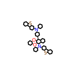 c1ccc(N(c2ccc(-c3c4c(c(N(c5ccccc5)c5ccc6c(c5)sc5ccccc56)c5ccccc35)Oc3ccccc3O4)cc2)c2ccc3c(c2)sc2ccccc23)cc1